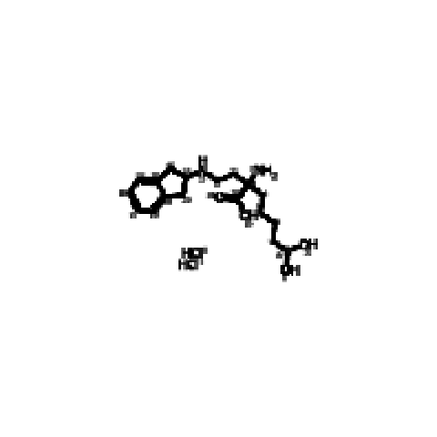 Cl.Cl.NC(CCCCB(O)O)(CCNC1Cc2ccccc2C1)C(=O)O